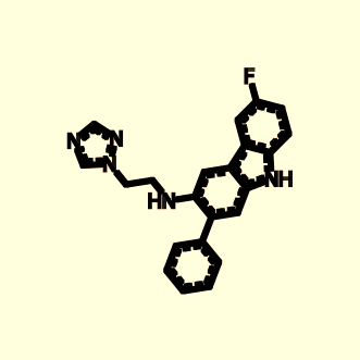 Fc1ccc2[nH]c3cc(-c4ccccc4)c(NCCn4cncn4)cc3c2c1